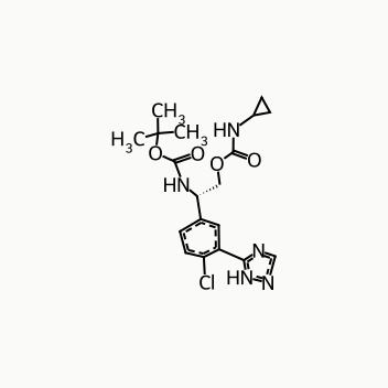 CC(C)(C)OC(=O)N[C@H](COC(=O)NC1CC1)c1ccc(Cl)c(-c2ncn[nH]2)c1